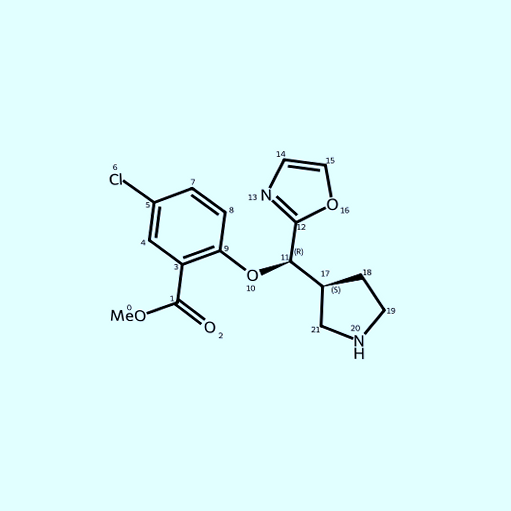 COC(=O)c1cc(Cl)ccc1O[C@@H](c1ncco1)[C@H]1CCNC1